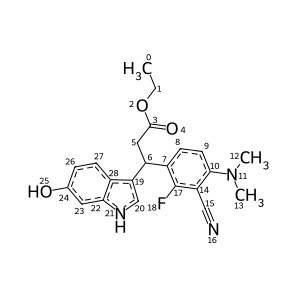 CCOC(=O)CC(c1ccc(N(C)C)c(C#N)c1F)c1c[nH]c2cc(O)ccc12